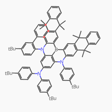 CC(C)(C)c1ccc(N(c2ccc(C(C)(C)C)cc2)c2cc3c4c(c2)N(c2ccc(C(C)(C)C)cc2-c2ccccc2)c2cc5c(cc2B4c2cc4c(cc2N3c2ccc(C(C)(C)C)cc2)C(C)(C)c2ccccc2C4(C)C)C(C)(C)c2ccccc2C5(C)C)cc1